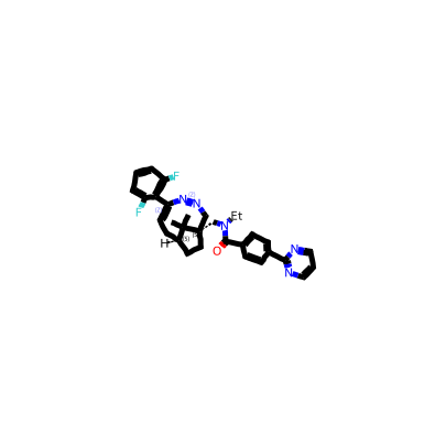 CCN(C[C@@]12CC[C@@H](C/C=C(c3c(F)cccc3F)\N=N/C1)C2(C)C)C(=O)c1ccc(-c2ncccn2)cc1